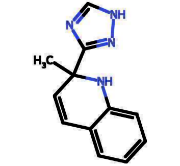 CC1(c2nc[nH]n2)C=Cc2ccccc2N1